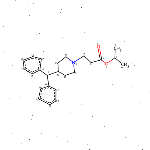 CC(C)OC(=O)CCN1CCC(C(c2ccccc2)c2ccccc2)CC1